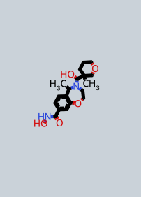 CC1c2ccc(C(=O)NO)cc2OCCN1C(O)C1(C)CCCOC1